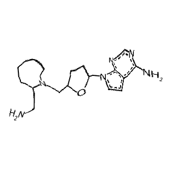 NCC1CCCCN1CC1CCC(n2ccc3c(N)ncnc32)O1